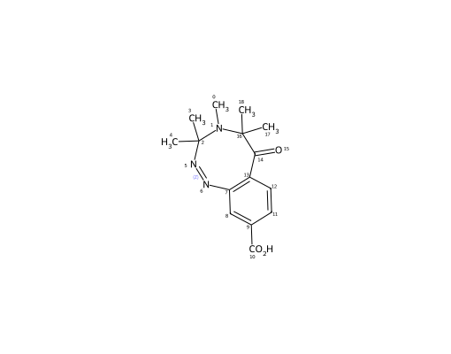 CN1C(C)(C)/N=N\c2cc(C(=O)O)ccc2C(=O)C1(C)C